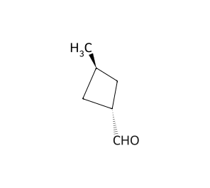 C[C@H]1C[C@H](C=O)C1